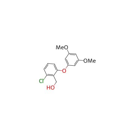 COc1cc(OC)cc(Oc2cccc(Cl)c2CO)c1